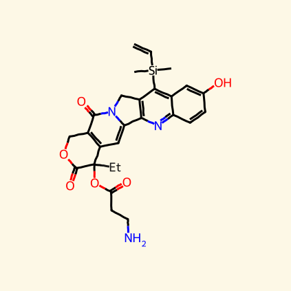 C=C[Si](C)(C)c1c2c(nc3ccc(O)cc13)-c1cc3c(c(=O)n1C2)COC(=O)C3(CC)OC(=O)CCN